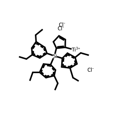 CCc1cc(CC)cc([Si](C2=[C]([Ti+3])C=CC2)(c2cc(CC)cc(CC)c2)c2cc(CC)cc(CC)c2)c1.[Cl-].[Cl-].[Cl-]